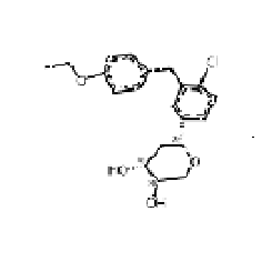 CCOc1ccc(Cc2cc([C@H]3C[C@@H](O)[C@H](O)CO3)ccc2Cl)cc1